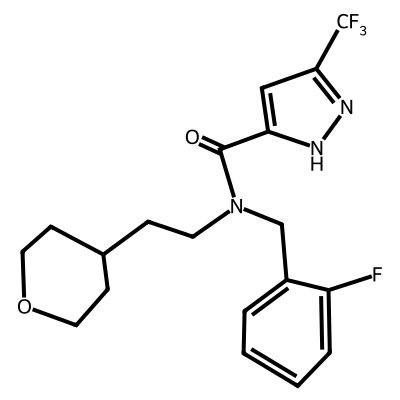 O=C(c1cc(C(F)(F)F)n[nH]1)N(CCC1CCOCC1)Cc1ccccc1F